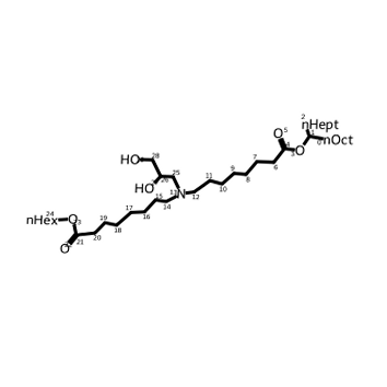 CCCCCCCCC(CCCCCCC)OC(=O)CCCCCCCN(CCCCCCCC(=O)OCCCCCC)CC(O)CO